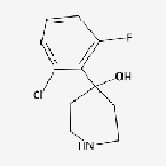 OC1(c2c(F)cccc2Cl)CCNCC1